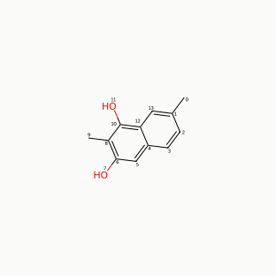 Cc1ccc2cc(O)c(C)c(O)c2c1